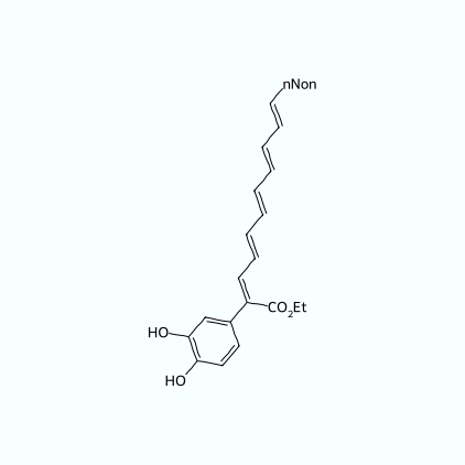 CCCCCCCCCC=CC=CC=CC=CC=C(C(=O)OCC)c1ccc(O)c(O)c1